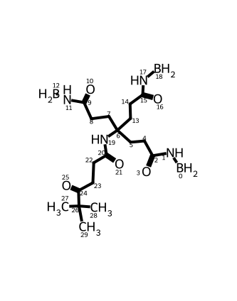 BNC(=O)CCC(CCC(=O)NB)(CCC(=O)NB)NC(=O)CCC(=O)C(C)(C)C